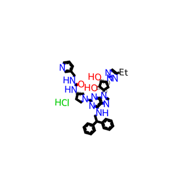 CCc1cnn([C@H]2C[C@@H](n3cnc4c(NCC(c5ccccc5)c5ccccc5)nc(N5CC[C@@H](NC(=O)NCc6cccnc6)C5)nc43)[C@H](O)[C@@H]2O)n1.Cl